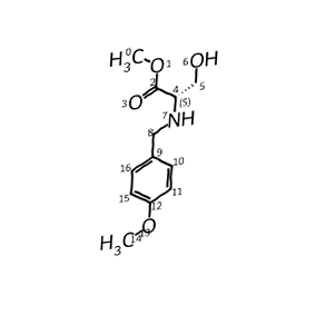 COC(=O)[C@H](CO)NCc1ccc(OC)cc1